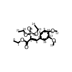 CCOC(=O)C(=Cc1ccc(OC)c(OC)c1)P(=O)(OCC)OCC